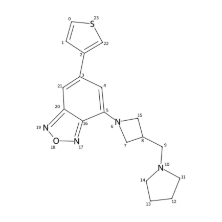 c1cc(-c2cc(N3CC(CN4CCCC4)C3)c3nonc3c2)cs1